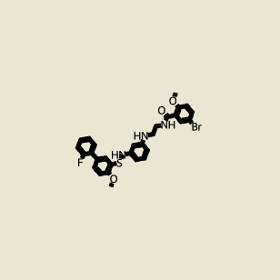 COc1ccc(-c2ccccc2F)cc1SNc1cccc(NCCNC(=O)c2cc(Br)ccc2OC)c1